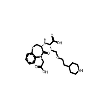 O=C(O)CN1C(=O)[C@@H](N[C@@H](CCOCCC2CCNCC2)C(=O)O)CSc2ccccc21